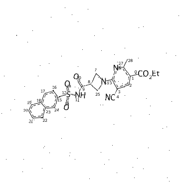 CCOC(=O)c1cc(C#N)c(N2CC(C(=O)NS(=O)(=O)c3ccc4ccccc4c3)C2)nc1C